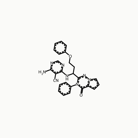 N#Cc1c(N)ncnc1NC(CCOc1ccccc1)c1nn2cccc2c(=O)n1-c1ccccc1